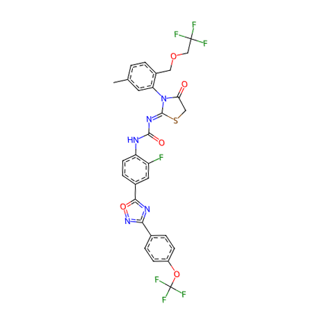 Cc1ccc(COCC(F)(F)F)c(N2C(=O)CSC2=NC(=O)Nc2ccc(-c3nc(-c4ccc(OC(F)(F)F)cc4)no3)cc2F)c1